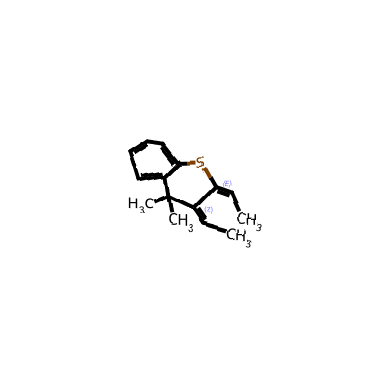 C/C=C1\C(=C/C)Sc2ccccc2C1(C)C